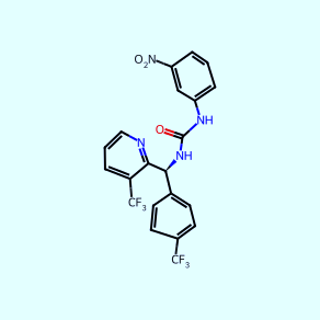 O=C(Nc1cccc([N+](=O)[O-])c1)N[C@@H](c1ccc(C(F)(F)F)cc1)c1ncccc1C(F)(F)F